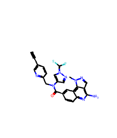 C#Cc1ccc(CN(C(=O)c2ccc3nc(N)c4cnn(C)c4c3c2)c2cnn(C(F)F)c2)nc1